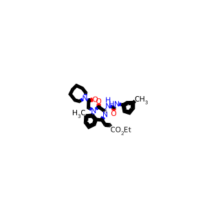 CCOC(=O)C=CC1=N[C@@H](NC(=O)Nc2cccc(C)c2)C(=O)N(CC(=O)N2CCCCCCC2)c2c(C)cccc21